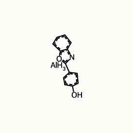 Oc1ccc(-c2nc3ccccc3o2)cc1.[AlH3]